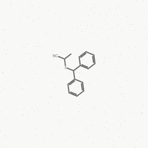 CC(C#N)SC(c1ccccc1)c1ccccc1